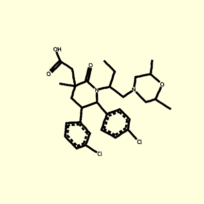 CCC(CN1CC(C)OC(C)C1)N1C(=O)C(C)(CC(=O)O)CC(c2cccc(Cl)c2)C1c1ccc(Cl)cc1